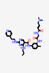 CCCNc1nc(NCCc2ccncc2)ncc1C(=O)Nc1ccc(C)c(NC(=O)CNC(=O)/C=C/CN(C)C)c1